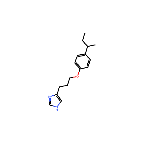 CCC(C)c1ccc(OCCCc2c[nH]cn2)cc1